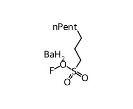 CCCCCCCCS(=O)(=O)OF.[BaH2]